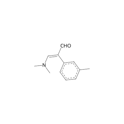 Cc1cccc(/C(C=O)=C\N(C)C)c1